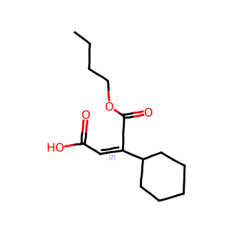 CCCCOC(=O)/C(=C\C(=O)O)C1CCCCC1